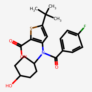 CC(C)(C)c1cc(N(C(=O)c2ccc(F)cc2)C2CCC(O)CC2)c(C(=O)O)s1